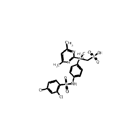 Cc1cc(C)nc([N+](C)(CS(=O)(=O)O)c2ccc(NS(=O)(=O)c3ccc(Cl)cc3Cl)cc2)n1